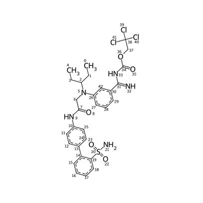 CCC(CC)N(CC(=O)Nc1ccc(-c2ccccc2S(N)(=O)=O)cc1)c1cccc(C(=N)NC(=O)OCC(Cl)(Cl)Cl)c1